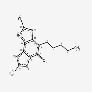 CCCCCn1c(=O)n2nc(C)nc2c2[nH]c(Cl)nc21